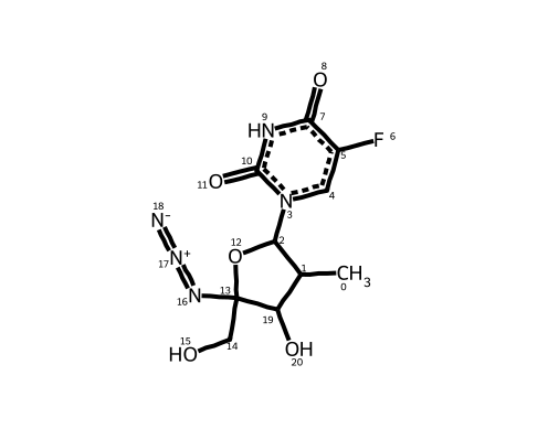 CC1C(n2cc(F)c(=O)[nH]c2=O)OC(CO)(N=[N+]=[N-])C1O